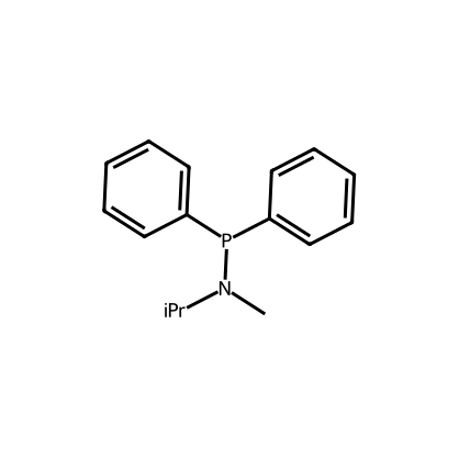 CC(C)N(C)P(c1ccccc1)c1ccccc1